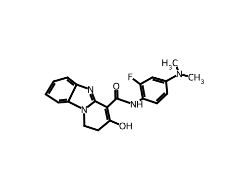 CN(C)c1ccc(NC(=O)C2=C(O)CCn3c2nc2ccccc23)c(F)c1